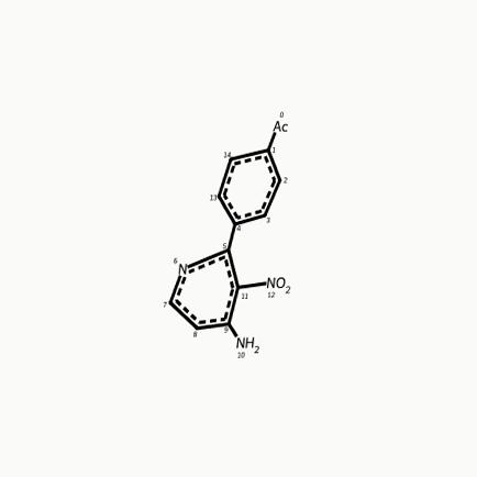 CC(=O)c1ccc(-c2nccc(N)c2[N+](=O)[O-])cc1